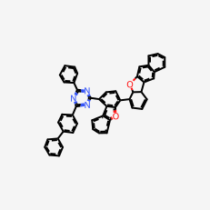 C1=CC2c3cc4ccccc4cc3OC2C(c2ccc(-c3nc(-c4ccccc4)nc(-c4ccc(-c5ccccc5)cc4)n3)c3c2oc2ccccc23)=C1